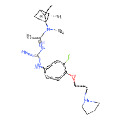 CC/C(=N\C(=N)Nc1ccc(OCCN2CCCC2)c(F)c1)N(C(C)(C)C)C12CC(C1)[C@H]2C